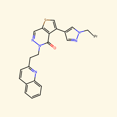 CC(C)Cn1cc(-c2csc3cnn(CCc4ccc5ccccc5n4)c(=O)c23)cn1